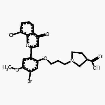 COc1cc(-c2cc(=O)c3cccc(Cl)c3o2)c(OCCCN2CCC(C(=O)O)C2)cc1Br